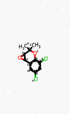 CC1(C)Oc2c(Cl)cc(Cl)cc2C2OC21